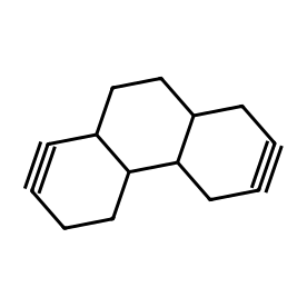 C1#CC2CCC3CC#CCC3C2CC1